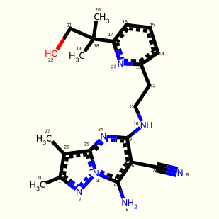 Cc1nn2c(N)c(C#N)c(NCCc3cccc(C(C)(C)CO)n3)nc2c1C